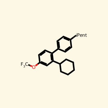 CCCC(C)c1ccc(-c2ccc(OC(F)(F)F)cc2C2CCCCC2)cc1